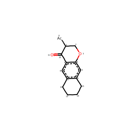 CC(=O)C1COc2cc3c(cc2C1=O)CCCC3